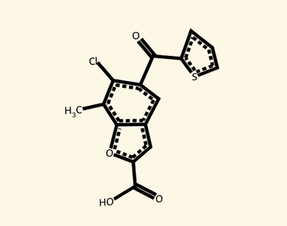 Cc1c(Cl)c(C(=O)c2cccs2)cc2cc(C(=O)O)oc12